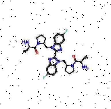 CC(C)[C@@H](N)C(=O)N1CCC[C@H]1Cn1c(-c2nc3cc(F)ccc3n2C[C@@H]2CCCN2C(=O)[C@H](N)C(C)C)nc2cc(F)ccc21